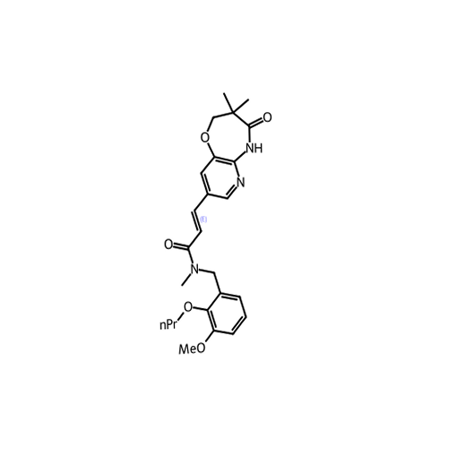 CCCOc1c(CN(C)C(=O)/C=C/c2cnc3c(c2)OCC(C)(C)C(=O)N3)cccc1OC